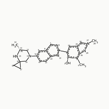 Cc1c(O)c(-c2ncc3cc(N4C[C@@H](C)NC5(CC5)C4)ccc3n2)cc2cn(C)nc12